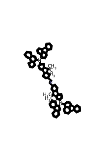 CC1(C)c2cc(/C=C/c3ccc4c(c3)C(C)(C)c3cc(N(c5ccc6c7c(cccc57)-c5ccccc5-6)c5cc6ccccc6c6ccccc56)ccc3-4)ccc2-c2ccc(N(c3ccc4c5c(cccc35)-c3ccccc3-4)c3cc4ccccc4c4ccccc34)cc21